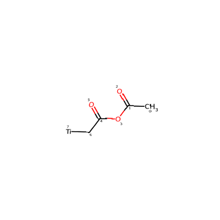 CC(=O)OC(=O)[CH2][Ti]